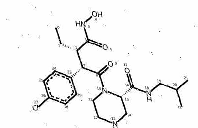 CC[C@H](C(=O)NO)[C@H](C(=O)N1CCNC[C@H]1C(=O)NCC(C)C)c1ccc(Cl)cc1